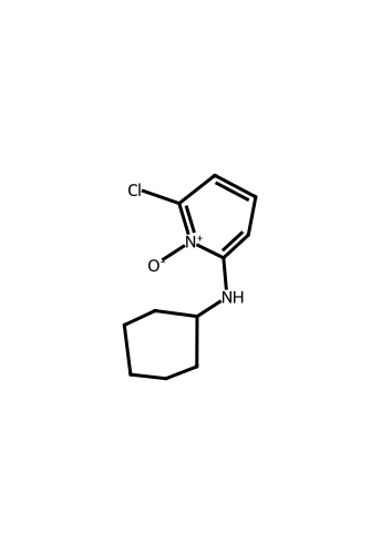 [O-][n+]1c(Cl)cccc1NC1CCCCC1